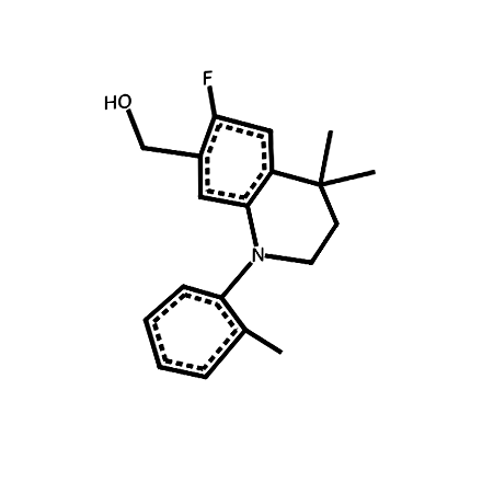 Cc1ccccc1N1CCC(C)(C)c2cc(F)c(CO)cc21